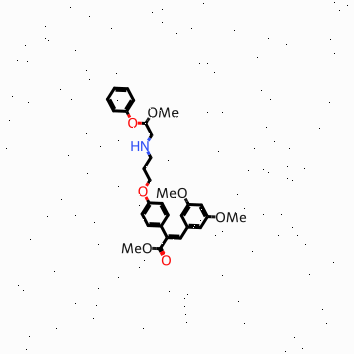 COC(=O)C(=Cc1cc(OC)cc(OC)c1)c1ccc(OCCCNCC(OC)Oc2ccccc2)cc1